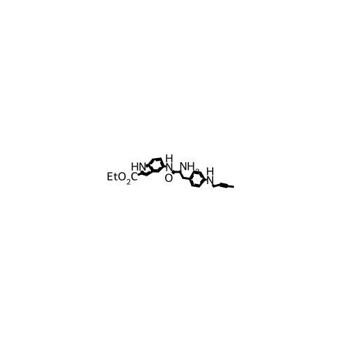 CC#CCNc1ccc(CC(N)C(=O)Nc2ccc3[nH]c(C(=O)OCC)cc3c2)cc1